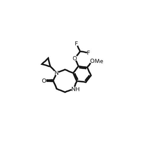 COc1ccc2c(c1OC(F)F)CN(C1CC1)C(=O)CCN2